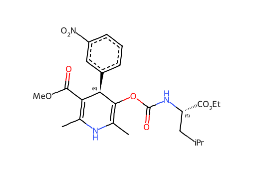 CCOC(=O)[C@H](CC(C)C)NC(=O)OC1=C(C)NC(C)=C(C(=O)OC)[C@H]1c1cccc([N+](=O)[O-])c1